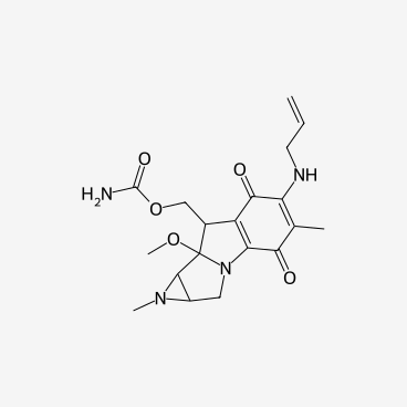 C=CCNC1=C(C)C(=O)C2=C(C1=O)C(COC(N)=O)C1(OC)C3C(CN21)N3C